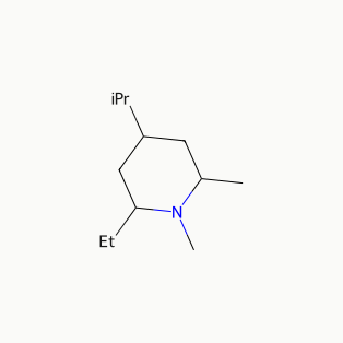 CCC1CC(C(C)C)CC(C)N1C